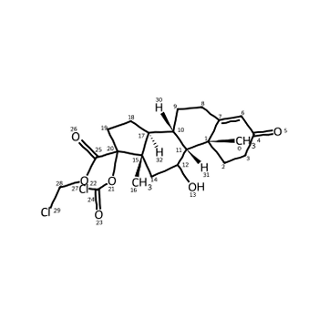 C[C@]12CCC(=O)C=C1CC[C@@H]1[C@H]2C(O)C[C@@]2(C)[C@H]1CCC2(OC(=O)Cl)C(=O)OCCl